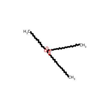 CCCCCCCCC=CCCCCCCCC(=O)OC(COCCCCCCCCCCCCCCCCCCCCCC)COCCCCCCCCCCCCCCCCCCCCCC